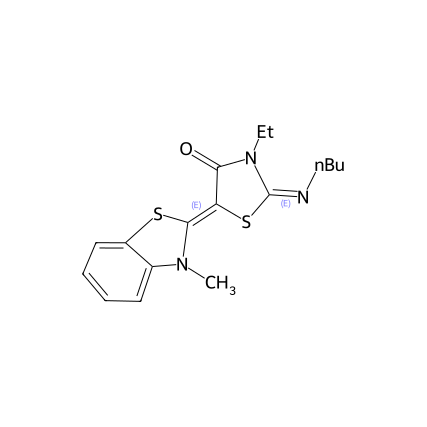 CCCC/N=C1/S/C(=C2/Sc3ccccc3N2C)C(=O)N1CC